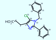 O=C(O)CCc1nc(-c2ccccc2)n(Cc2ccccc2)c1Cl